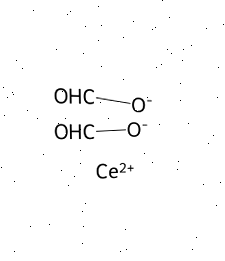 O=C[O-].O=C[O-].[Ce+2]